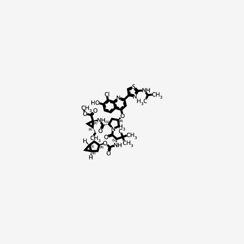 CC[C@@H]1C[C@]1(NC(=O)[C@@H]1C[C@@H](Oc2cc(-c3csc(NC(C)C)n3)nc3c(Cl)c(O)ccc23)CN1C(=O)[C@@H](NC(=O)O[C@@H]1C[C@@H]2C[C@@H]2C1)C(C)(C)C)C(=O)OC